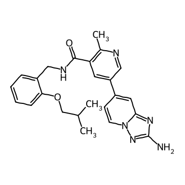 Cc1ncc(-c2ccn3nc(N)nc3c2)cc1C(=O)NCc1ccccc1OCC(C)C